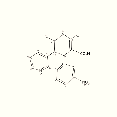 CC1=C(C(=O)O)C(c2cccc([N+](=O)[O-])c2)C(c2cccnc2)=C(C)N1